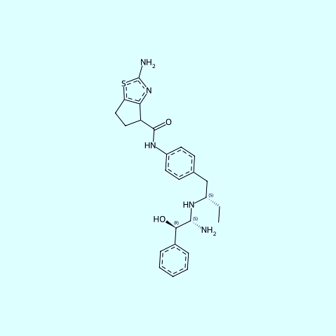 CC[C@@H](Cc1ccc(NC(=O)C2CCc3sc(N)nc32)cc1)N[C@H](N)[C@H](O)c1ccccc1